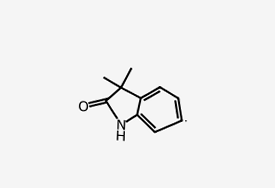 CC1(C)C(=O)Nc2c[c]ccc21